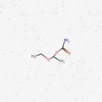 CCOC(C)OC(N)=O